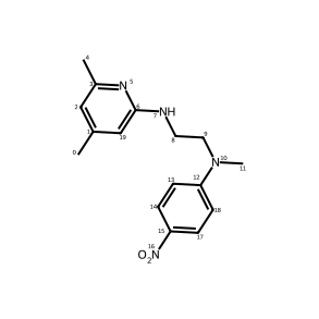 Cc1cc(C)nc(NCCN(C)c2ccc([N+](=O)[O-])cc2)c1